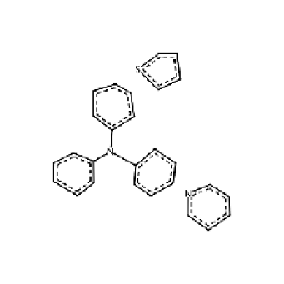 c1ccc(N(c2ccccc2)c2ccccc2)cc1.c1ccncc1.c1ccsc1